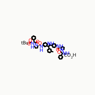 Cc1cccc(-c2c(-c3ccc(NC(=O)[C@@H]4CCCN4C(=O)[C@H](NC(=O)O)c4ccccc4)cc3)[nH]c3ccc(NC(=O)[C@@H]4CCCN4C(=O)[C@H](NC(=O)OC(C)(C)C)c4ccccc4)cc23)c1